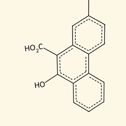 CC(C)(C)c1ccc2c(c1)c(C(=O)O)c(O)c1ccccc12